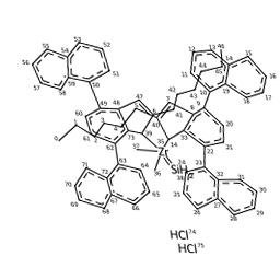 CCCCCCC1=Cc2c(-c3cccc4ccccc34)ccc(-c3cccc4ccccc34)c2[CH]1[Zr]([CH3])([CH3])(=[SiH2])[CH]1C(CCCCCC)=Cc2c(-c3cccc4ccccc34)ccc(-c3cccc4ccccc34)c21.Cl.Cl